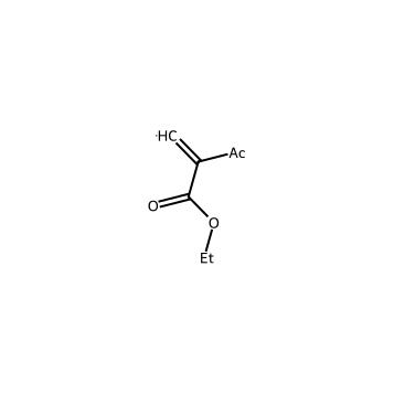 [CH]=C(C(C)=O)C(=O)OCC